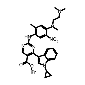 Cc1cc(N(C)CCN(C)C)c([N+](=O)[O-])cc1Nc1ncc(C(=O)OC(C)C)c(-c2cn(C3CC3)c3ccccc23)n1